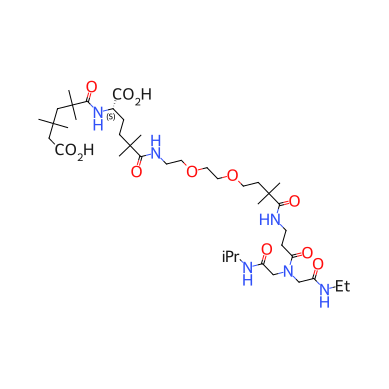 CCNC(=O)CN(CC(=O)NC(C)C)C(=O)CCNC(=O)C(C)(C)CCOCCOCCNC(=O)C(C)(C)CC[C@H](NC(=O)C(C)(C)CC(C)(C)CC(=O)O)C(=O)O